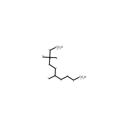 CC(CCCC(=O)O)CCC(C)(C)CC(=O)O